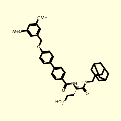 COc1cc(COc2ccc(-c3ccc(C(=O)N[C@@H](CCC(=O)O)C(=O)NCC45CC6CC(CC(C6)C4)C5)cc3)cc2)cc(OC)c1